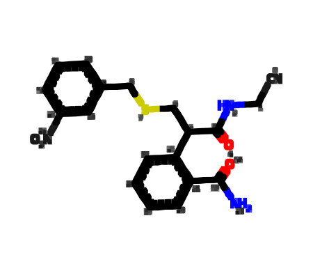 N#CCNC(=O)C(CSCc1cccc([N+](=O)[O-])c1)c1ccccc1C(N)=O